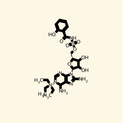 CC[N+](CC)(CC)N1C=Nc2c(nc(N)n2[C@@H]2O[C@H](COS(=O)(=O)NC(=O)c3ccccc3O)C(O)C2O)C1N